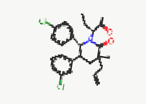 C=CCC1(C)CC(c2cccc(Cl)c2)[C@@H](c2ccc(Cl)cc2)N([C@@H](CC)C(C)=O)C1=O